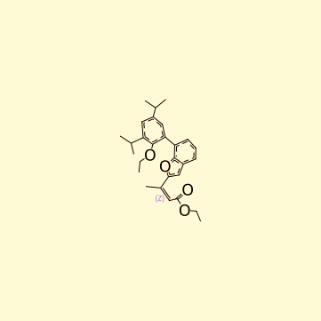 CCOC(=O)/C=C(/C)c1cc2cccc(-c3cc(C(C)C)cc(C(C)C)c3OCC)c2o1